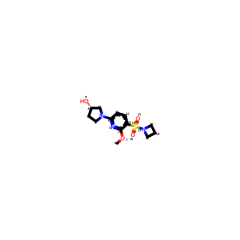 COc1nc(N2CC[C@H](O)C2)ccc1S(=O)(=O)N1CCC1